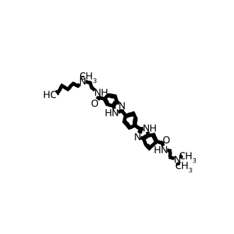 C#CCCCCN(C)CCNC(=O)c1ccc2nc(-c3ccc(-c4nc5ccc(C(=O)NCCN(C)C)cc5[nH]4)cc3)[nH]c2c1